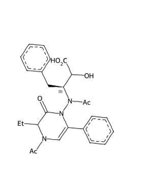 CCC1C(=O)N(N(C(C)=O)[C@@H](Cc2ccccc2)C(O)C(=O)O)C(c2ccccc2)=CN1C(C)=O